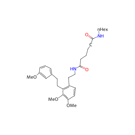 CCCCCCNC(=O)CCCCC(=O)NCCc1ccc(OC)c(OC)c1CCc1cccc(OC)c1